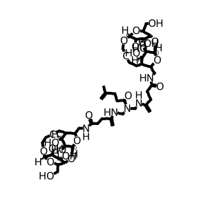 C=C(C)CCC(=O)N(CNC(=C)CCC(=O)NCC1O[C@@H]2OC3C(CO)O[C@H](OCCCCC1[C@H](O)C2O)C(O)[C@H]3O)CNC(=C)CCC(=O)NCC1O[C@@H]2OC3C(CO)O[C@H](OCCCCC1[C@H](O)C2O)C(O)[C@H]3O